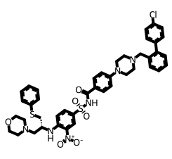 O=C(NS(=O)(=O)c1ccc(N[C@@H](CSc2ccccc2)CN2CCOCC2)c([N+](=O)[O-])c1)c1ccc(N2CCN(Cc3ccccc3-c3ccc(Cl)cc3)CC2)cc1